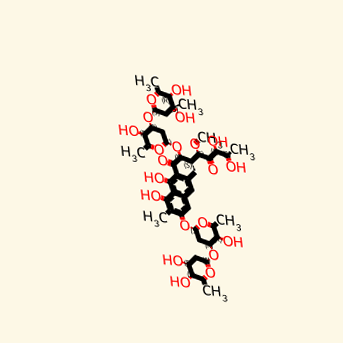 CO[C@H](C(=O)[C@@H](O)[C@@H](C)O)[C@@H]1Cc2cc3cc(O[C@H]4C[C@@H](O[C@H]5C[C@@H](O)[C@H](O)C(C)O5)[C@H](O)C(C)O4)c(C)c(O)c3c(O)c2C(=O)[C@H]1O[C@H]1C[C@@H](O[C@H]2C[C@](C)(O)[C@H](O)C(C)O2)[C@H](O)C(C)O1